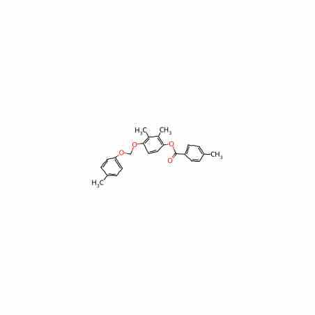 Cc1ccc(OCOc2ccc(OC(=O)c3ccc(C)cc3)c(C)c2C)cc1